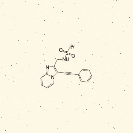 CC(C)S(=O)(=O)NCc1nc2ccccn2c1C#Cc1ccccc1